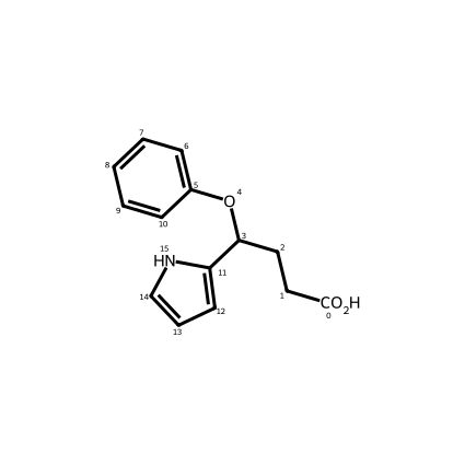 O=C(O)CCC(Oc1ccccc1)c1ccc[nH]1